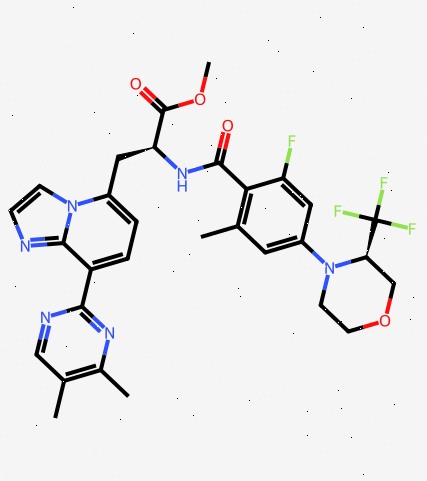 COC(=O)[C@H](Cc1ccc(-c2ncc(C)c(C)n2)c2nccn12)NC(=O)c1c(C)cc(N2CCOC[C@@H]2C(F)(F)F)cc1F